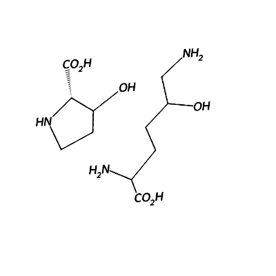 NCC(O)CCC(N)C(=O)O.O=C(O)[C@H]1NCCC1O